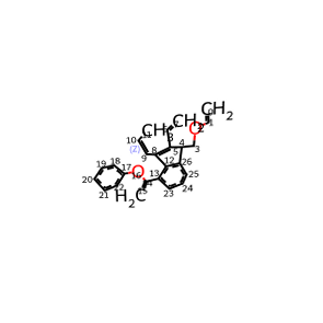 C=COCC1C(C=C)=C(/C=C\C)c2c(C(=C)Oc3ccccc3)cccc21